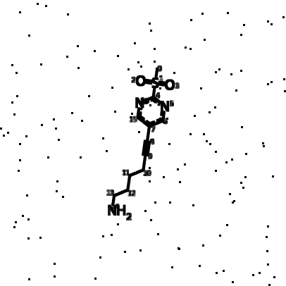 CS(=O)(=O)c1ncc(C#CCCCCN)cn1